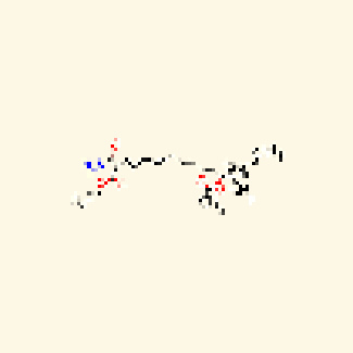 CCCCC(C)(C)C(CCCCCCCCCC(C(N)=O)C(=O)OCC)OC(C)=O